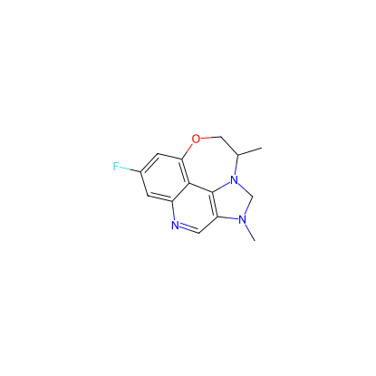 CC1COc2cc(F)cc3ncc4c(c23)N1CN4C